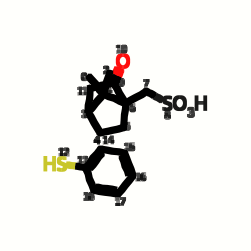 CC1(C)C2CCC1(CS(=O)(=O)O)C(=O)C2.Sc1ccccc1